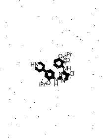 CC(C)Oc1cc(C2CCNCC2)ccc1Nc1ncc(Cl)c(NC2C=CC=CC2(F)S(=O)(=O)C(C)C)n1